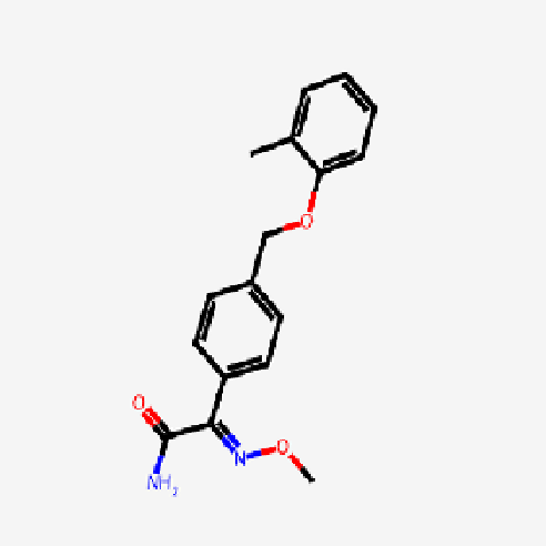 CO/N=C(/C(N)=O)c1ccc(COc2ccccc2C)cc1